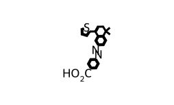 CC1(C)CC=C(c2cccs2)c2cc(/N=N/c3ccc(C(=O)O)cc3)ccc21